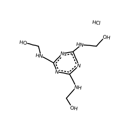 Cl.OCNc1nc(NCO)nc(NCO)n1